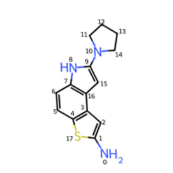 Nc1cc2c(ccc3[nH]c(N4CCCC4)cc32)s1